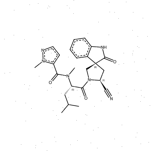 CC(C)C[C@@H](C(=O)N1C[C@]2(C[C@H]1C#N)C(=O)Nc1ccccc12)N(C)C(=O)c1ccnn1C